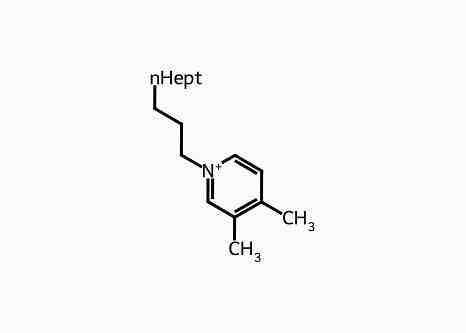 CCCCCCCCCC[n+]1ccc(C)c(C)c1